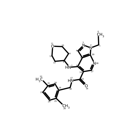 CCn1ncc2c(NC3CCOCC3)c(C(=O)NCc3cc(C)ccc3C)cnc21